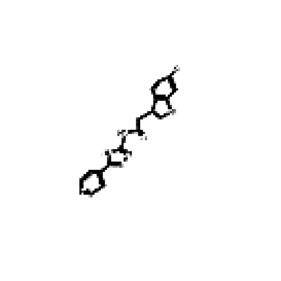 O=C(CC1CNc2cc(Cl)ccc21)Nc1nnc(-c2ccncc2)[nH]1